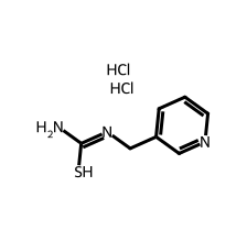 Cl.Cl.NC(S)=NCc1cccnc1